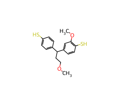 COCCC(c1ccc(S)cc1)c1ccc(S)c(OC)c1